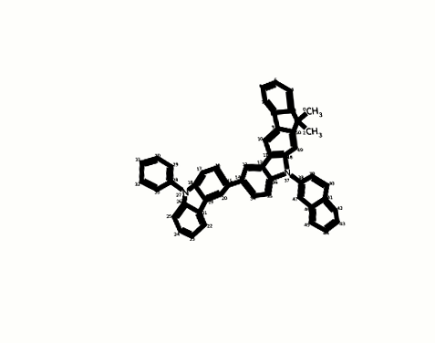 CC1(C)c2ccccc2-c2cc3c4cc(-c5ccc6c(c5)c5ccccc5n6-c5ccccc5)ccc4n(-c4ccc5ccccc5c4)c3cc21